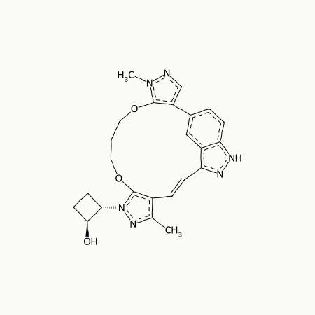 Cc1nn([C@H]2CC[C@@H]2O)c2c1/C=C/c1n[nH]c3ccc(cc13)-c1cnn(C)c1OCCCO2